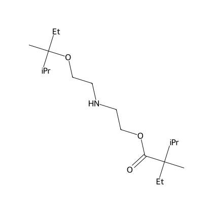 CCC(C)(OCCNCCOC(=O)C(C)(CC)C(C)C)C(C)C